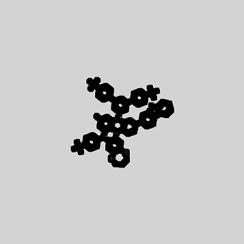 Cc1cc2c3c(c1)N(c1ccc(C(C)(C)C)cc1)c1cc4c(cc1B3C1=C(CC(c3ccc5c(c3)sc3ccccc35)C=C1)N2c1cc(-c2ccc(C(C)(C)C)cc2)cc(-c2ccc(C(C)(C)C)cc2)c1)OCCCO4